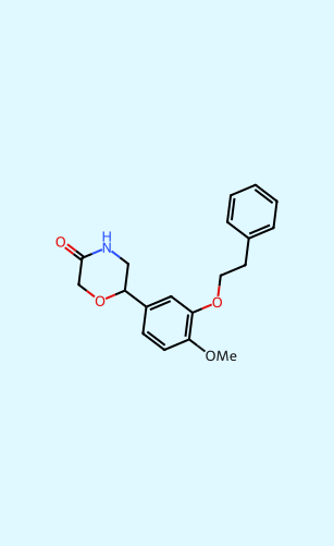 COc1ccc(C2CNC(=O)CO2)cc1OCCc1ccccc1